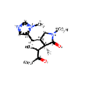 CCCCC(C(=O)OC)[C@]1(CC)C(=O)N(C(=O)O)C[C@@H]1Cc1cncn1C